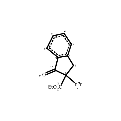 CCCC1(C(=O)OCC)Cc2ccccc2C1=O